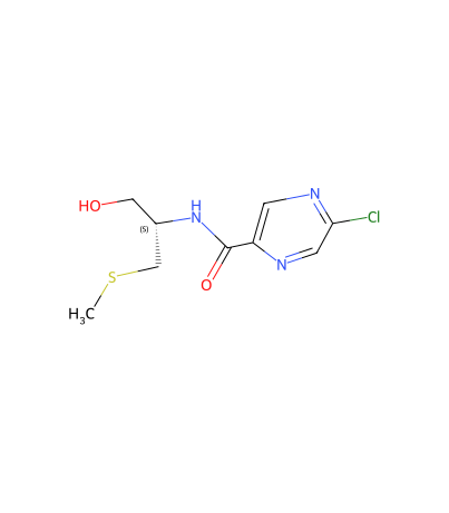 CSC[C@H](CO)NC(=O)c1cnc(Cl)cn1